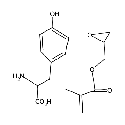 C=C(C)C(=O)OCC1CO1.NC(Cc1ccc(O)cc1)C(=O)O